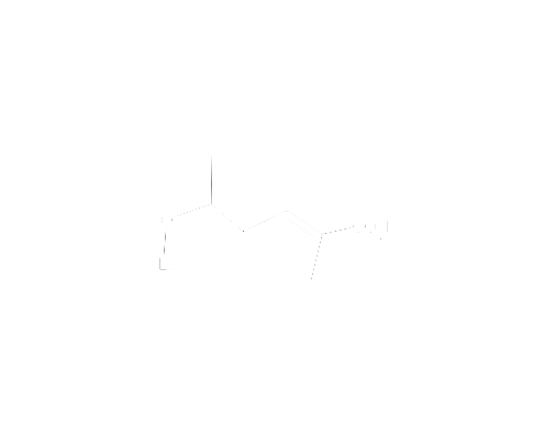 CCOC(C)CC=C(C)C(=O)O